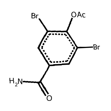 CC(=O)Oc1c(Br)cc(C(N)=O)cc1Br